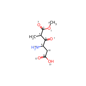 COC(=O)C(C)C(=O)C(N)CC(=O)O